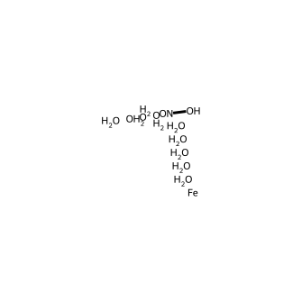 O.O.O.O.O.O.O.O.O.O=NO.[Fe]